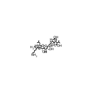 CC(C)C[C@H](NC(=O)[C@@H](N)CCCCN)C(=O)N[C@@H](CO)C(=O)N[C@@H](CO)C(=O)NCC(=O)N[C@@H](CC(=O)O)C(=O)N[C@H](C(=O)O)C(C)C